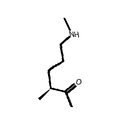 CNCCC[C@H](C)C(C)=O